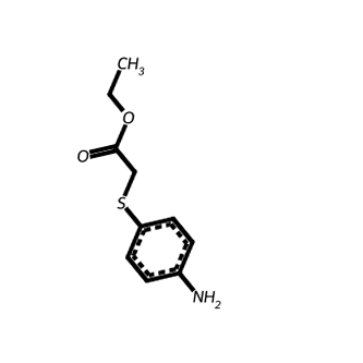 CCOC(=O)CSc1ccc(N)cc1